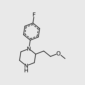 COCCC1CNCCN1c1ccc(F)cc1